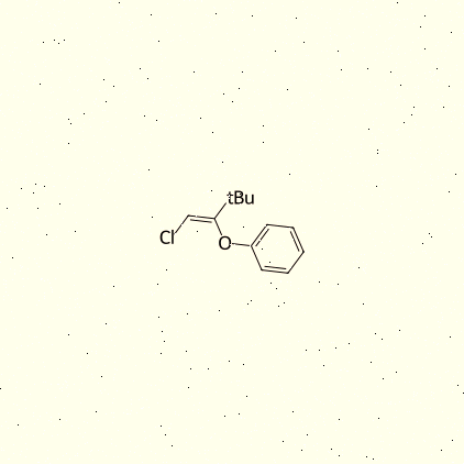 CC(C)(C)/C(=C/Cl)Oc1ccccc1